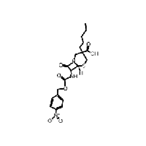 CCCCCC1(C(=O)O)CS[C@@H]2C(NC(=O)OCc3ccc([N+](=O)[O-])cc3)C(=O)N2C1